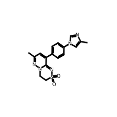 CC1=NN2CCS(=O)(=O)N=C2C(c2ccc(-n3cnc(C)c3)cc2)=C1